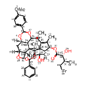 COc1ccc(C2O[C@H]3C[C@H]4OC[C@@]4(OC(C)=O)[C@H]4[C@H](OC(=O)c5ccccc5)[C@]5(C(C)(C)O)C[C@H](OC(=O)[C@H](O)[C@@H](C)CC(C)C)C(C)=C5[C@@H](C)[C@H](O2)[C@]34C)cc1